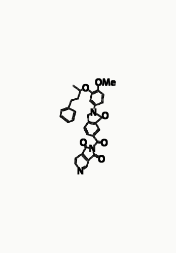 COc1ccc(N2Cc3ccc(C(=O)N4C(=O)c5ccncc5C4=O)cc3C2=O)cc1OC(C)CCc1ccccc1